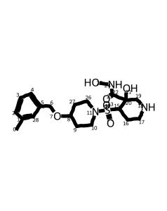 Cc1cccc(COC2CCN(S(=O)(=O)C3CCNCC3(O)C(=O)NO)CC2)c1